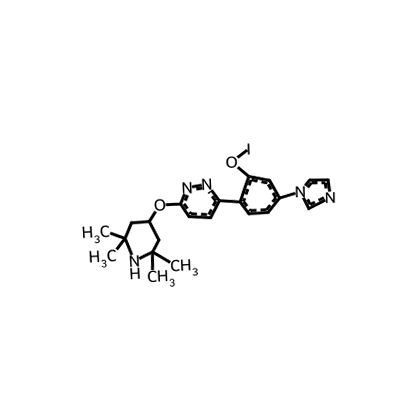 CC1(C)CC(Oc2ccc(-c3ccc(-n4ccnc4)cc3OI)nn2)CC(C)(C)N1